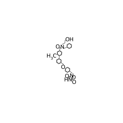 Cc1cc(C(=O)N(CCCO)Cc2ccccc2)ccc1-c1cccc(COc2ccc(Cn3oc(=O)[nH]c3=O)cc2)c1